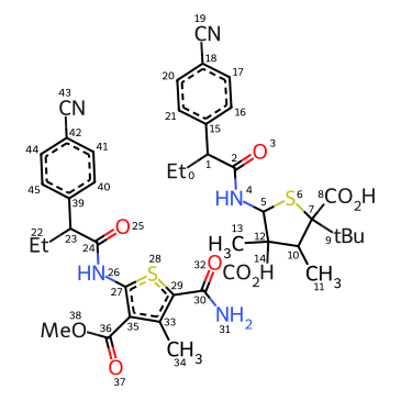 CCC(C(=O)NC1SC(C(=O)O)(C(C)(C)C)C(C)C1(C)C(=O)O)c1ccc(C#N)cc1.CCC(C(=O)Nc1sc(C(N)=O)c(C)c1C(=O)OC)c1ccc(C#N)cc1